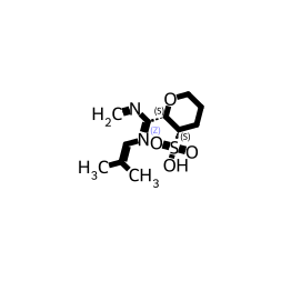 C=N/C(=N\C=C(C)C)[C@@H]1OCCC[C@@H]1S(=O)(=O)O